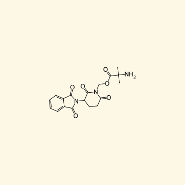 CC(C)(N)C(=O)OCN1C(=O)CCC(N2C(=O)c3ccccc3C2=O)C1=O